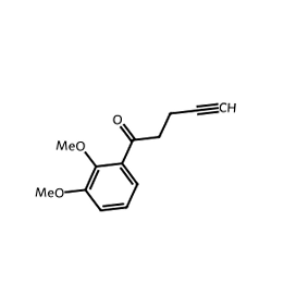 C#CCCC(=O)c1cccc(OC)c1OC